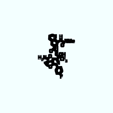 CNC(=O)Nc1cc(C(=O)NCC(O)(c2cc3c(c(-c4ccc(F)cc4)n2)OC2C[C@@]32C(N)=O)C(F)(F)F)cc2cccnc12